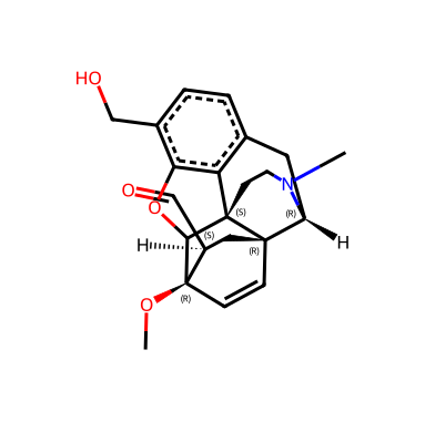 CO[C@]12C=C[C@@]3(C[C@@H]1C=O)[C@H]1Cc4ccc(CO)c5c4[C@@]3(CCN1C)C2O5